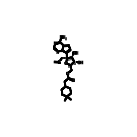 C=NC[C@@]1(c2ccc3c(N)ncnn23)O[C@H](COC(=O)CC2CCC(C)(C)CC2)[C@@H](O)[C@H]1O